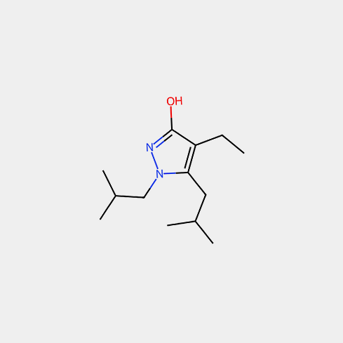 CCc1c(O)nn(CC(C)C)c1CC(C)C